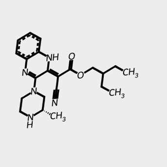 CCC(CC)COC(=O)/C(C#N)=C1\Nc2ccccc2N=C1N1CCN[C@@H](C)C1